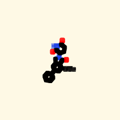 COc1cc(-c2ccccc2)cc2c1C(=O)N(C1CCC(=O)NC1=O)C2